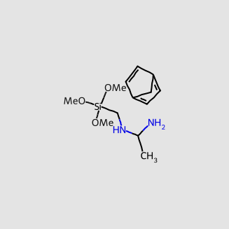 C1=CC2=CC=C1C2.CO[Si](CNC(C)N)(OC)OC